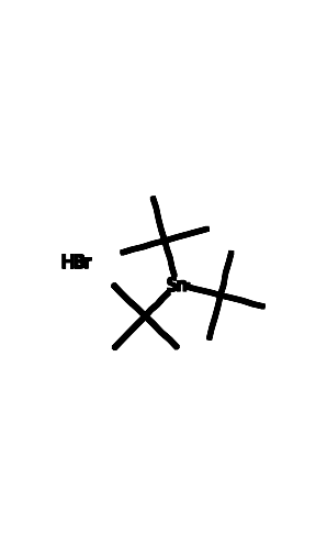 Br.C[C](C)(C)[Sn]([C](C)(C)C)[C](C)(C)C